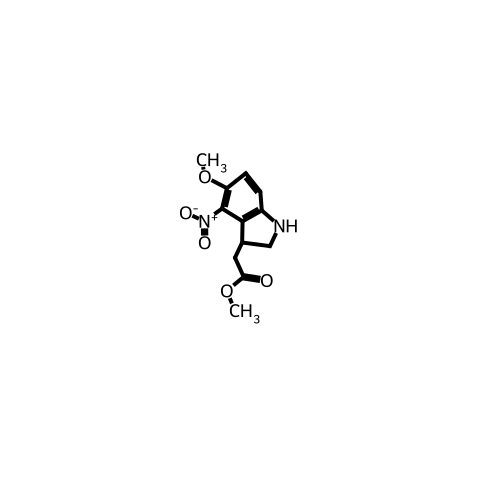 COC(=O)CC1CNc2ccc(OC)c([N+](=O)[O-])c21